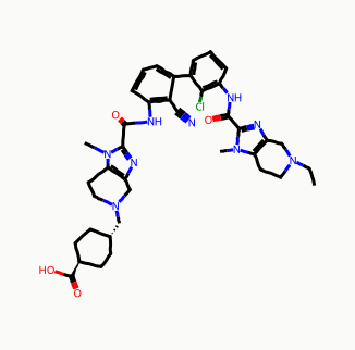 CCN1CCc2c(nc(C(=O)Nc3cccc(-c4cccc(NC(=O)c5nc6c(n5C)CCN(C[C@H]5CC[C@H](C(=O)O)CC5)C6)c4C#N)c3Cl)n2C)C1